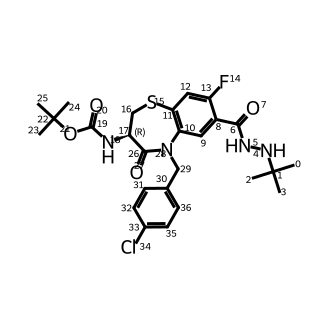 CC(C)(C)NNC(=O)c1cc2c(cc1F)SC[C@H](NC(=O)OC(C)(C)C)C(=O)N2Cc1ccc(Cl)cc1